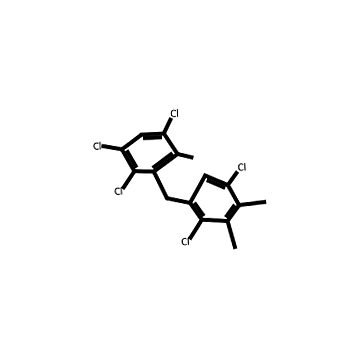 Cc1c(Cl)cc(Cc2c(C)c(Cl)cc(Cl)c2Cl)c(Cl)c1C